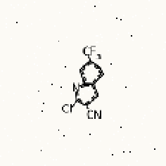 N#Cc1cc2ccc(C(F)(F)F)cc2nc1Cl